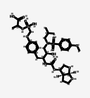 COc1ccc(S(=O)(=O)N(CC(C)C)C[C@@H](O)[C@H](Cc2ccc(OCP(=O)(O)OC(C)C(=O)O)cc2)NC(=O)O[C@H]2CO[C@H]3OCC[C@H]32)cc1